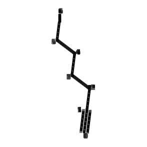 C#C[CH]CCCI